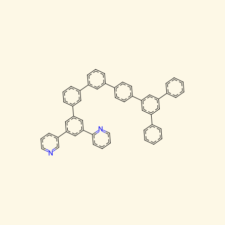 c1ccc(-c2cc(-c3ccccc3)cc(-c3ccc(-c4cccc(-c5cccc(-c6cc(-c7cccnc7)cc(-c7ccccn7)c6)c5)c4)cc3)c2)cc1